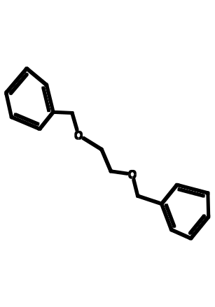 c1ccc(COCCOCc2ccccc2)cc1